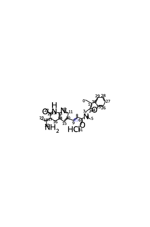 Cc1c(CN(C)C(=O)/C=C/c2cnc3c(c2)CC(C(C)N)C(=O)N3)oc2ccccc12.Cl